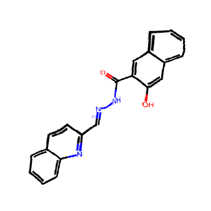 O=C(N/N=C/c1ccc2ccccc2n1)c1cc2ccccc2cc1O